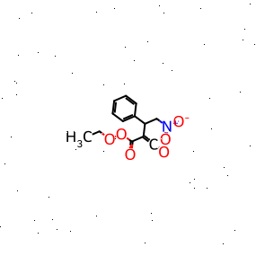 CCOOC(=O)C(=C=O)C(C[N+](=O)[O-])c1ccccc1